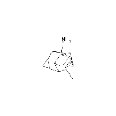 CC1=CC2C(N)C3CCC4C5C2C(C1C1CC31)C45